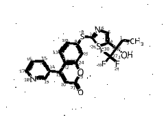 CC[C@](O)(c1cnc(Sc2ccc3c(-c4cccnc4)cc(=O)oc3c2)s1)C(F)(F)F